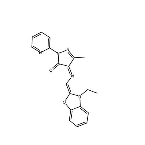 CCN1C(=CN=C2C(=O)N(c3ccccn3)N=C2C)Oc2ccccc21